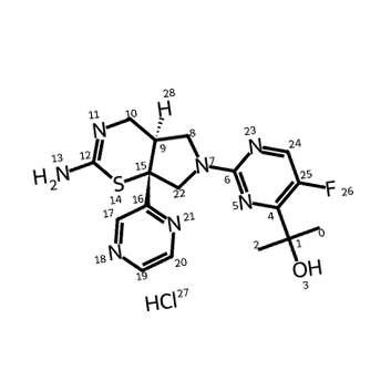 CC(C)(O)c1nc(N2C[C@@H]3CN=C(N)S[C@@]3(c3cnccn3)C2)ncc1F.Cl